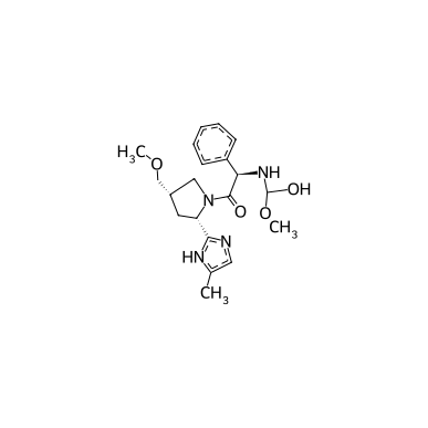 COC[C@H]1C[C@@H](c2ncc(C)[nH]2)N(C(=O)[C@H](NC(O)OC)c2ccccc2)C1